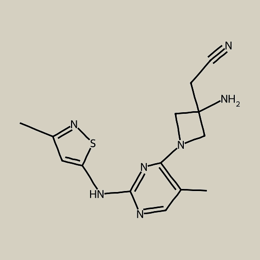 Cc1cc(Nc2ncc(C)c(N3CC(N)(CC#N)C3)n2)sn1